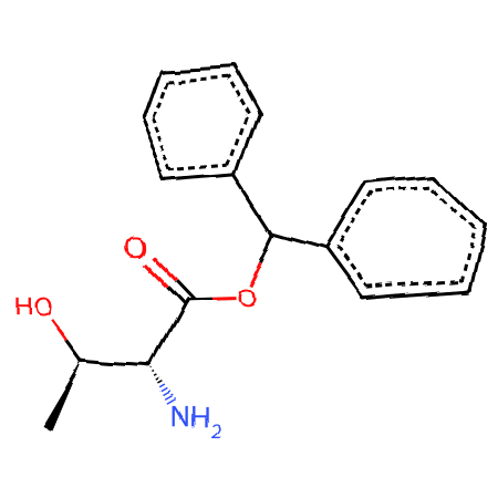 C[C@@H](O)[C@@H](N)C(=O)OC(c1ccccc1)c1ccccc1